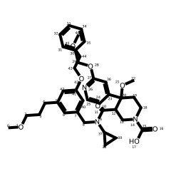 COCCCc1cc(CN(C(=O)C2CN(C(=O)O)CCC2(OC)c2ccnc(OCc3ccccc3)c2)C2CC2)cc(OCCOC)c1